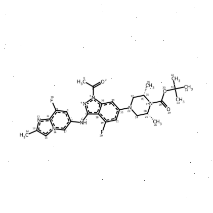 CC(=O)n1nc(Nc2cc(F)c3nc(C)cn3c2)c2c(F)cc(N3C[C@@H](C)N(C(=O)OC(C)(C)C)[C@@H](C)C3)cc21